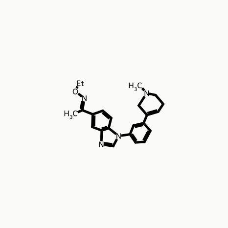 CCO/N=C(\C)c1ccc2c(c1)ncn2-c1cccc(C2=CCCN(C)C2)c1